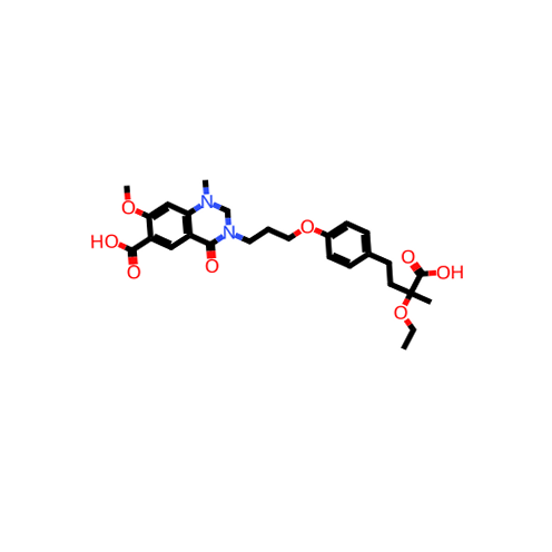 CCOC(C)(CCc1ccc(OCCCN2CN(C)c3cc(OC)c(C(=O)O)cc3C2=O)cc1)C(=O)O